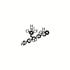 CN1CCN(C2CCN(C(=O)C(CC(=O)N3CCC(N4CCc5ccccc5NC4=O)CC3)Cc3cc(Cl)c(N)c(C(F)(F)F)c3)CC2)CC1